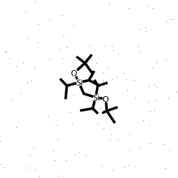 CC(C)[Si](C[Si](OC(C)(C)C)(C(C)C)C(C)C)(OC(C)(C)C)C(C)C